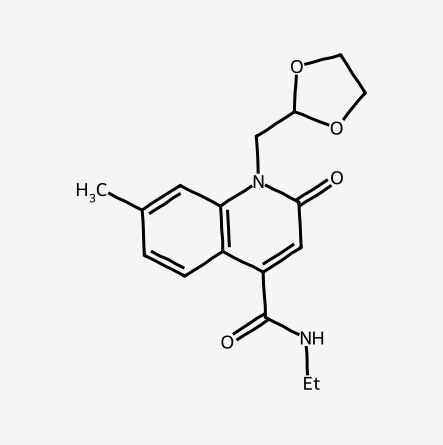 CCNC(=O)c1cc(=O)n(CC2OCCO2)c2cc(C)ccc12